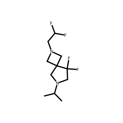 CC(C)N1CC(F)(F)C2(CN(CC(F)F)C2)C1